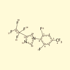 Fc1cc(C(F)(F)F)cc(F)c1-n1cnc(C(F)(F)C(F)F)c1